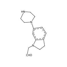 O=CCN1CCc2ccc(N3CCNCC3)cc21